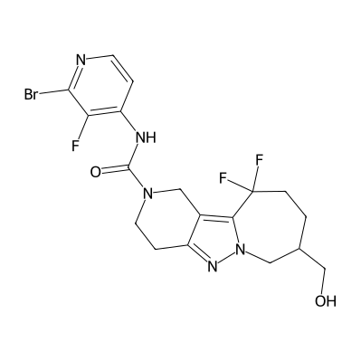 O=C(Nc1ccnc(Br)c1F)N1CCc2nn3c(c2C1)C(F)(F)CCC(CO)C3